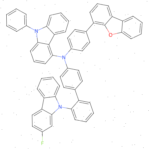 Fc1ccc2c3ccccc3n(-c3ccccc3-c3ccc(N(c4ccc(-c5cccc6c5oc5ccccc56)cc4)c4cccc5c4c4ccccc4n5-c4ccccc4)cc3)c2c1